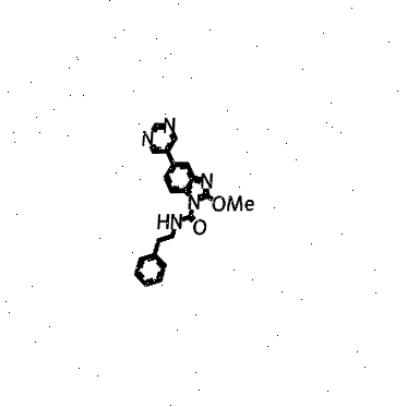 COc1nc2cc(-c3cncnc3)ccc2n1C(=O)NCCc1ccccc1